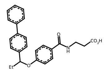 CCC(Oc1ccc(C(=O)NCCC(=O)O)cc1)c1ccc(-c2ccccc2)cc1